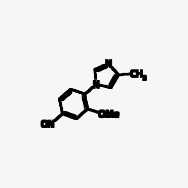 COc1cc(N=O)ccc1-n1cnc(C)c1